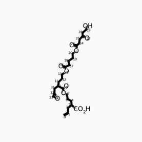 C=CCC(CCCOC(=O)C(CCCOC(=O)CCCCOC(=O)CCC(=O)CCO)CC1CO1)C(=O)O